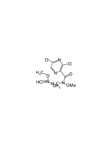 CNOC.CON(C)C(=O)c1ncc(Cl)nc1Cl.Cl